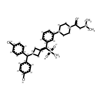 CN(C)CC(=O)N1CCN(c2cccc(C(=C3CN(C(c4ccc(Cl)cc4)c4ccc(Cl)cc4)C3)S(C)(=O)=O)c2)CC1